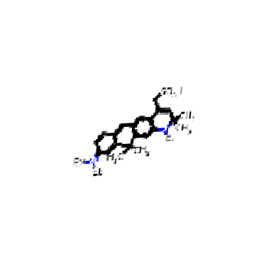 CCN1c2cc3c(cc2C(CS(=O)(=O)O)=CC1(C)C)C=C1C=CC(=[N+](CC)CC)C=C1C3(C)C